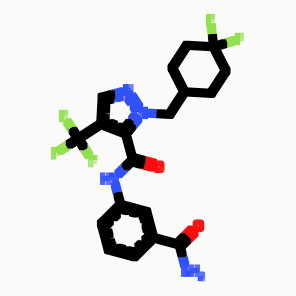 NC(=O)c1cccc(NC(=O)c2c(C(F)(F)F)cnn2CC2CCC(F)(F)CC2)c1